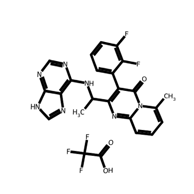 Cc1cccc2nc(C(C)Nc3ncnc4[nH]cnc34)c(-c3cccc(F)c3F)c(=O)n12.O=C(O)C(F)(F)F